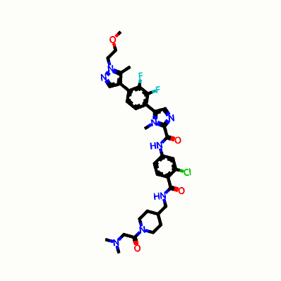 COCCn1ncc(-c2ccc(-c3cnc(C(=O)Nc4ccc(C(=O)NCC5CCN(C(=O)CN(C)C)CC5)c(Cl)c4)n3C)c(F)c2F)c1C